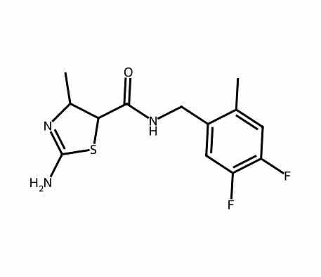 Cc1cc(F)c(F)cc1CNC(=O)C1SC(N)=NC1C